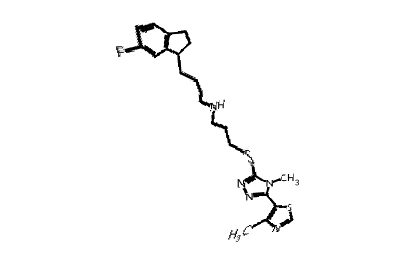 Cc1ncsc1-c1nnc(SCCCNCCCC2CCc3ccc(F)cc32)n1C